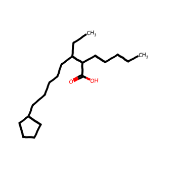 CCCCCC(C(=O)O)C(CC)CCCCCC1CCCC1